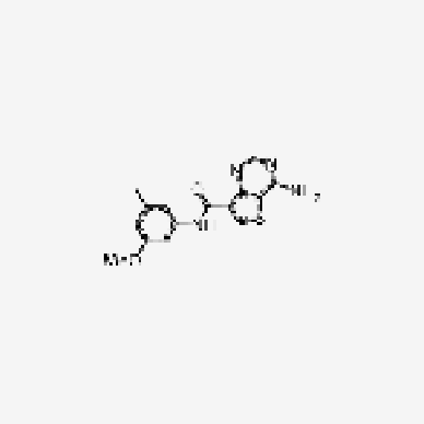 COc1cc(C)cc(NC(=O)c2csc3c(N)ncnc23)c1